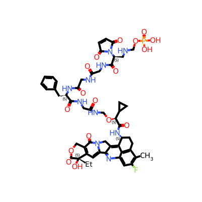 CC[C@@]1(O)C(=O)OCc2c1cc1n(c2=O)Cc2c-1nc1cc(F)c(C)c3c1c2[C@@H](NC(=O)[C@@H](OCNC(=O)CNC(=O)[C@H](Cc1ccccc1)NC(=O)CNC(=O)CNC(=O)[C@H](CNCOP(=O)(O)O)N1C(=O)C=CC1=O)C1CC1)CC3